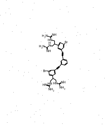 N=C(N)NCC(CNC(=N)N)c1cc(Br)cc(C#Cc2cccc(C#Cc3cc(Br)cc(C(CNC(=N)N)CNC(=N)N)c3)c2)c1